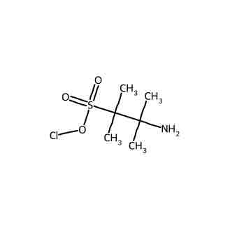 CC(C)(N)C(C)(C)S(=O)(=O)OCl